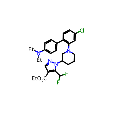 CCOC(=O)c1cnn(C2CCCN(c3cc(Cl)ccc3-c3ccc(N(CC)CC)cc3)C2)c1C(F)F